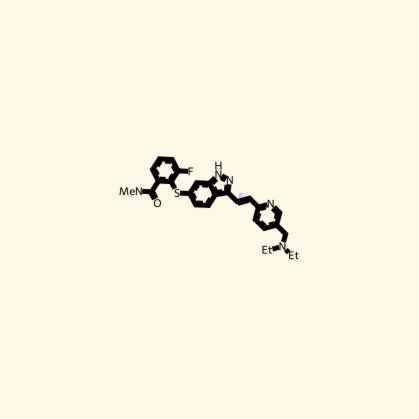 CCN(CC)Cc1ccc(/C=C/c2n[nH]c3cc(Sc4c(F)cccc4C(=O)NC)ccc23)nc1